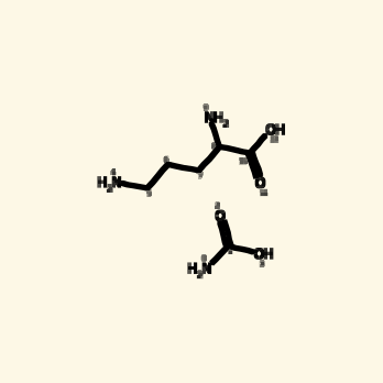 NC(=O)O.NCCCC(N)C(=O)O